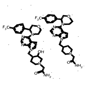 NC(=O)CN1CCC(Cn2ccc3c(N4CCOCC4c4ccc(C(F)(F)F)cc4)ncnc32)C(O)C1.NC(=O)CN1CCC(Cn2ccc3c(N4CCOCC4c4ccc(C(F)(F)F)cc4)ncnc32)CC1